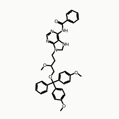 COc1ccc(C(OCC(CCN2CNc3c(NC(=O)c4ccccc4)ncnc32)OC)(c2ccccc2)c2ccc(OC)cc2)cc1